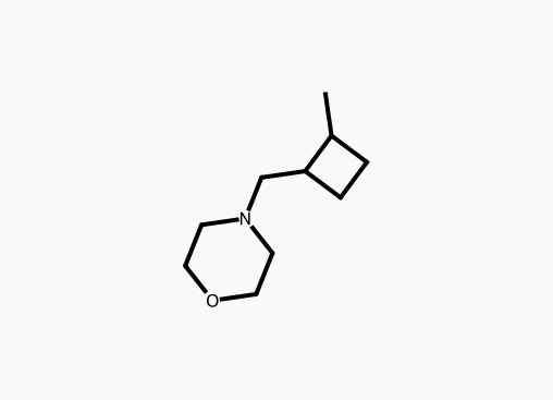 CC1CCC1CN1CCOCC1